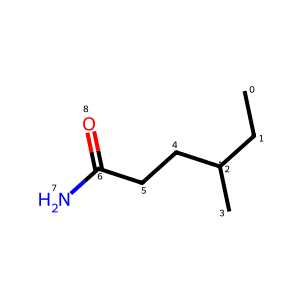 CC[C](C)CCC(N)=O